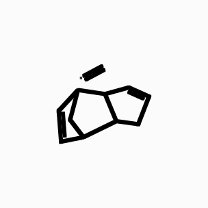 C1=CC2C3C=CC(C3)C2C1.[CH]=C